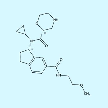 COCCNC(=O)c1ccc2c(c1)[C@@H](N(C(=O)[C@H]1CNCCO1)C1CC1)CC2